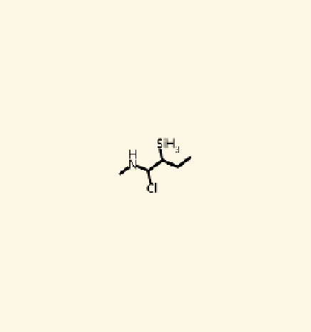 CCC([SiH3])C(Cl)NC